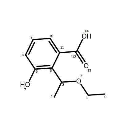 CCOC(C)c1c(O)cccc1C(=O)O